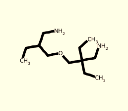 CCC(CN)COCC(CC)(CC)CN